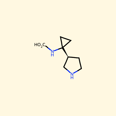 O=C(O)NC1([C@H]2CCNC2)CC1